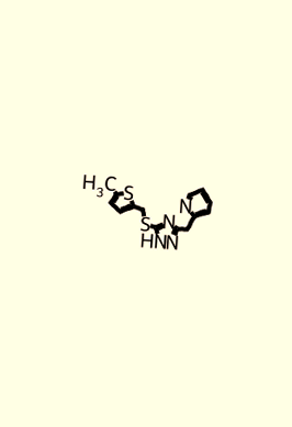 Cc1ccc(CSc2nc(Cc3ccccn3)n[nH]2)s1